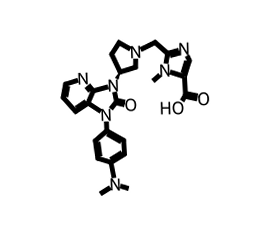 CN(C)c1ccc(-n2c(=O)n([C@H]3CCN(Cc4ncc(C(=O)O)n4C)C3)c3ncccc32)cc1